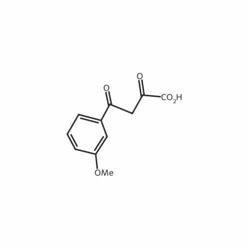 COc1cccc(C(=O)CC(=O)C(=O)O)c1